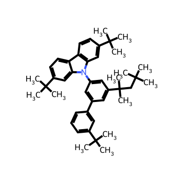 CC(C)(C)CC(C)(C)c1cc(-c2cccc(C(C)(C)C)c2)cc(-n2c3cc(C(C)(C)C)ccc3c3ccc(C(C)(C)C)cc32)c1